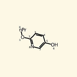 CCCOc1ccc(O)cn1